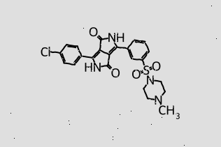 CN1CCN(S(=O)(=O)c2cccc(C3=C4C(=O)NC(c5ccc(Cl)cc5)=C4C(=O)N3)c2)CC1